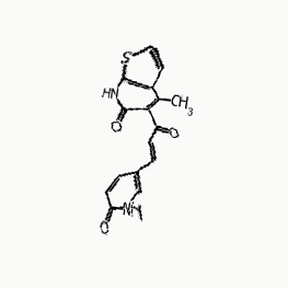 Cc1c(C(=O)C=Cc2ccc(=O)[nH]c2)c(=O)[nH]c2sccc12